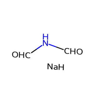 O=CNC=O.[NaH]